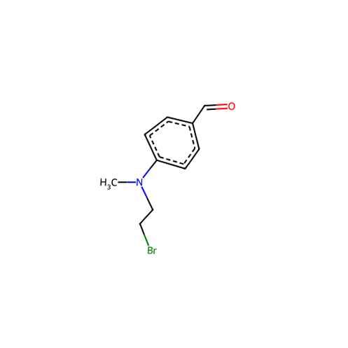 CN(CCBr)c1ccc(C=O)cc1